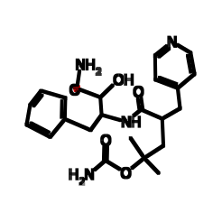 CC(C)(CC(Cc1ccncc1)C(=O)NC(Cc1ccccc1)C(O)C(N)=O)OC(N)=O